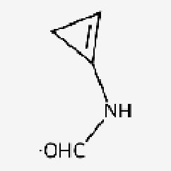 O=[C]NC1=CC1